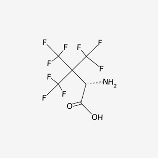 N[C@H](C(=O)O)C(C(F)(F)F)(C(F)(F)F)C(F)(F)F